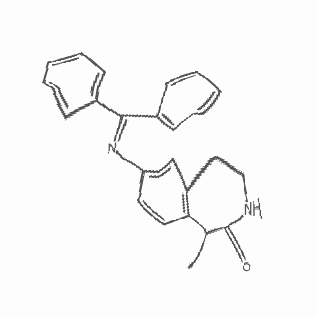 CC1C(=O)NCCc2cc(N=C(c3ccccc3)c3ccccc3)ccc21